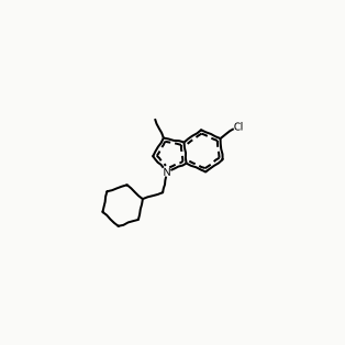 Cc1cn(CC2CCCCC2)c2ccc(Cl)cc12